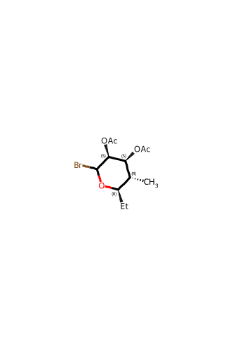 CC[C@H]1OC(Br)[C@@H](OC(C)=O)[C@@H](OC(C)=O)[C@@H]1C